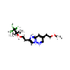 COCCc1cnn2cc(CCOC(C)(C)C(F)(F)F)nc2c1